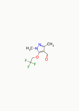 Cc1nn(C)c(OCC(F)(F)F)c1C=O